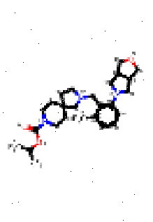 O=C(OC(C(F)(F)F)C(F)(F)F)N1CCC2(CCN(Cc3c(N4CC5COCC5C4)cccc3C(F)(F)F)C2)CC1